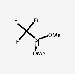 CCC(F)(F)[SiH](OC)OC